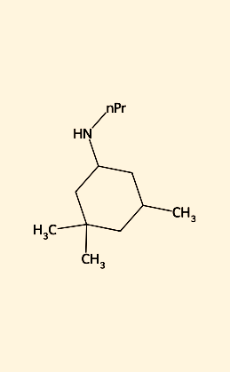 CCCNC1CC(C)CC(C)(C)C1